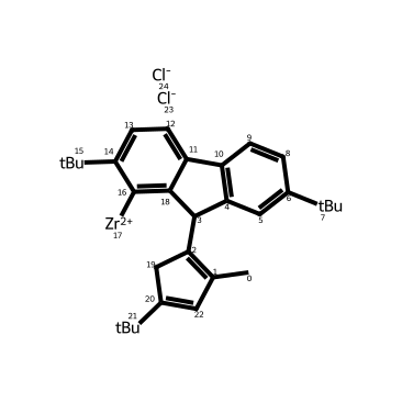 CC1=C(C2c3cc(C(C)(C)C)ccc3-c3ccc(C(C)(C)C)[c]([Zr+2])c32)CC(C(C)(C)C)=C1.[Cl-].[Cl-]